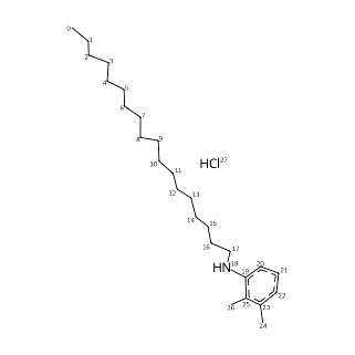 CCCCCCCCCCCCCCCCCCNc1cccc(C)c1C.Cl